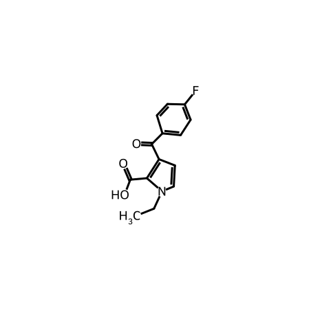 CCn1ccc(C(=O)c2ccc(F)cc2)c1C(=O)O